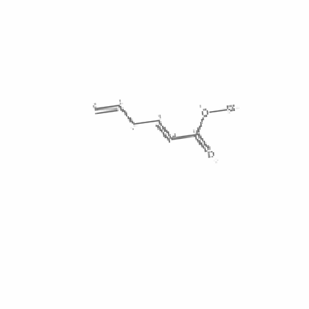 C=CCC=CC(=O)O[Si]